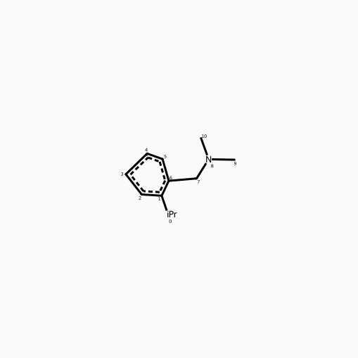 CC(C)c1cc[c]cc1CN(C)C